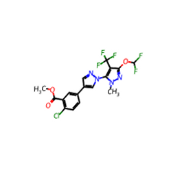 COC(=O)c1cc(-c2cnn(-c3c(C(F)(F)F)c(OC(F)F)nn3C)c2)ccc1Cl